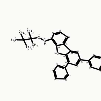 CC(C)(P)C(C)(C)OBc1cccc2c1oc1c(-c3ccccc3)cc(-c3ccccc3)cc12